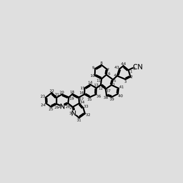 N#Cc1ccc(-c2c3ccccc3c(-c3ccc(-c4cc5cc6ccccc6nc5c5ncccc45)cc3)c3ccccc23)cc1